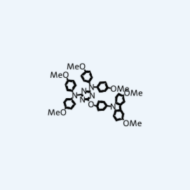 COc1ccc(N(c2ccc(OC)cc2)c2nc(Oc3ccc(-n4c5ccc(OC)cc5c5cc(OC)ccc54)cc3)nc(N(c3ccc(OC)cc3)c3ccc(OC)cc3)n2)cc1